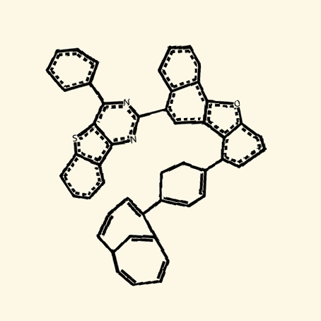 C1=CC2=CC(C=C1)C=CC=C2C1=CC=C(c2cccc3oc4c5ccccc5c(-c5nc(-c6ccccc6)c6sc7ccccc7c6n5)cc4c23)CC1